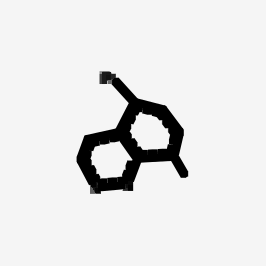 Cc1ccc(C(C)C)c2ccnnc12